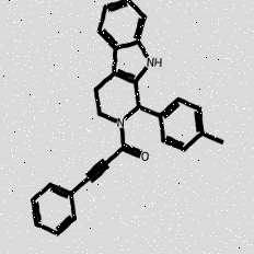 Cc1ccc(C2c3[nH]c4ccccc4c3CCN2C(=O)C#Cc2ccccc2)cc1